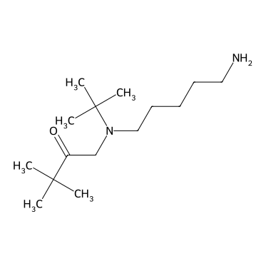 CC(C)(C)C(=O)CN(CCCCCN)C(C)(C)C